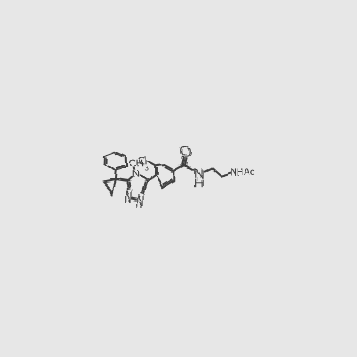 CC(=O)NCCNC(=O)c1ccc(-c2nnc(C3(c4ccccc4)CC3)n2C)c(Cl)c1